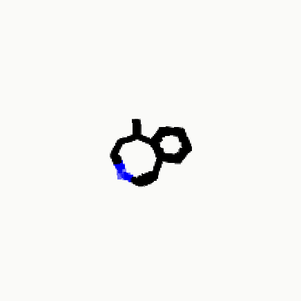 C=C1CC=NC=Cc2ccccc21